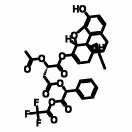 CC(=O)O[C@@H](CC(=O)O[C@H](C(=O)OC(=O)C(F)(F)F)c1ccccc1)C(=O)OC1=CC[C@@]2(O)C3Cc4ccc(O)c5c4[C@@]2(CCN3C)[C@H]1O5